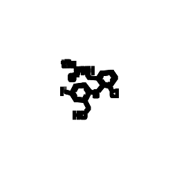 CC(C)(C)[S+]([O-])NCc1cccc(Cl)c1Sc1ccc(F)cc1CO